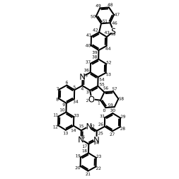 C1=c2oc3c(-c4cccc(-c5cccc(-c6nc(-c7ccccc7)nc(-c7ccccc7)n6)c5)c4)nc4cc(-c5ccc6c(c5)sc5ccccc56)ccc4c3c2=CCC1